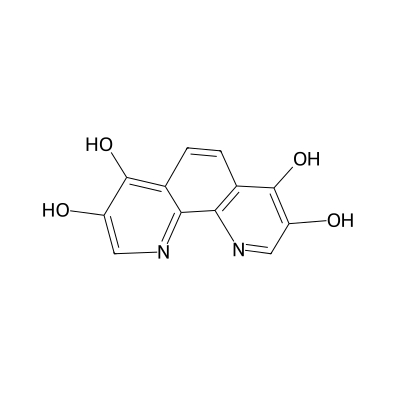 Oc1cnc2c(ccc3c(O)c(O)cnc32)c1O